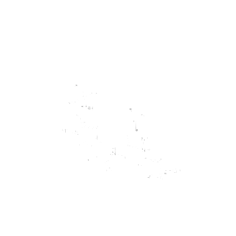 CC(C(=O)NCc1cc(C2CC2)nn1-c1cccc(Cl)c1)c1ccc(CNS(C)(=O)=O)c(F)c1